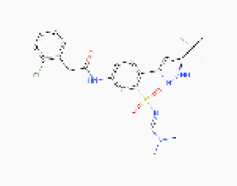 CN(C)C=NS(=O)(=O)c1cc(NC(=O)Cc2ccccc2Cl)ccc1-c1cc(C(C)(C)C)[nH]n1